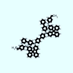 C=Cc1ccc(Sc2ccc(C3(c4ccccc4)c4ccccc4-c4ccc(N(c5ccc(-c6ccccc6)cc5)c5ccc(-c6ccc(N(c7ccc(-c8ccccc8)cc7)c7ccc8c(c7)C(c7ccccc7)(c7ccc(Sc9ccc(C=C)cc9)cc7)c7ccccc7-8)cc6)cc5)cc43)cc2)cc1